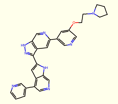 c1cncc(-c2cncc3[nH]c(-c4n[nH]c5cnc(-c6cncc(OCCN7CCCC7)c6)cc45)cc23)c1